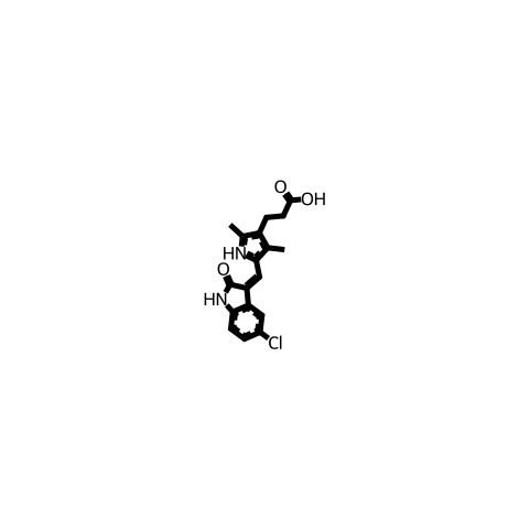 Cc1[nH]c(C=C2C(=O)Nc3ccc(Cl)cc32)c(C)c1CCC(=O)O